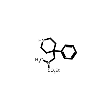 CCOC(=O)N(C)CC1(c2ccccc2)CCNCC1